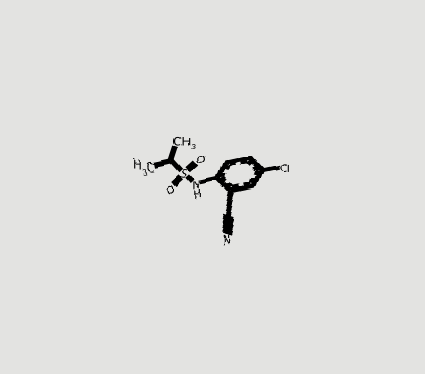 CC(C)S(=O)(=O)Nc1c[c]c(Cl)cc1C#N